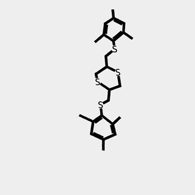 Cc1cc(C)c(SCC2CSC(CSc3c(C)cc(C)cc3C)CS2)c(C)c1